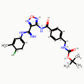 CC1=CC(NC(=N)c2nonc2NC(=O)c2ccc(CNC(=O)OC(C)(C)C)cc2)=CCC1F